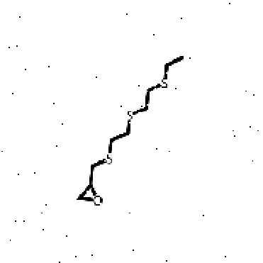 CCSCCSCCSCC1CO1